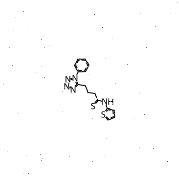 S=C(CCCc1nnnn1-c1ccccc1)Nc1cccs1